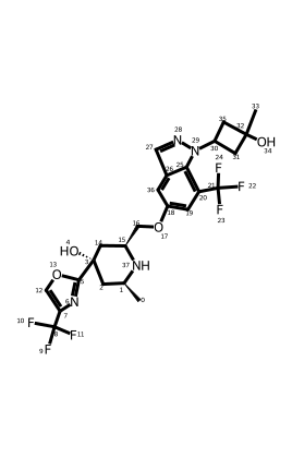 C[C@H]1C[C@@](O)(c2nc(C(F)(F)F)co2)C[C@@H](COc2cc(C(F)(F)F)c3c(cnn3C3CC(C)(O)C3)c2)N1